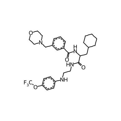 O=C(NC(CC1CCCCC1)C(=O)NCCNc1ccc(OC(F)(F)F)cc1)c1cccc(CN2CCOCC2)c1